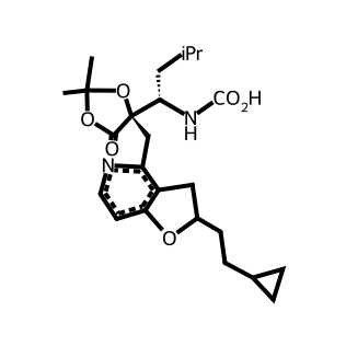 CC(C)C[C@H](NC(=O)O)[C@@]1(Cc2nccc3c2CC(CCC2CC2)O3)OC(C)(C)OC1=O